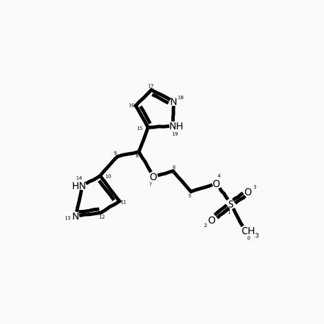 CS(=O)(=O)OCCOC(Cc1ccn[nH]1)c1ccn[nH]1